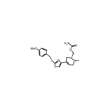 COc1ccc(CSc2nc(C3=CCN(C)[C@H](COC(N)=O)C3)cs2)cc1